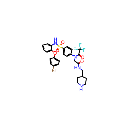 O=C(CN(C(=O)C(F)(F)F)c1ccc(S(=O)(=O)Nc2ccccc2Oc2ccc(Br)cc2)cc1)NCC1CCNCC1